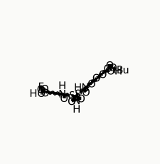 CC(C)(C)OP(=O)(O)OCCOCCOCCOCCNC(=O)CCSC1=C(SCCC(=O)NCCCCCCOP(=O)(O)OF)C(=O)NC1=O